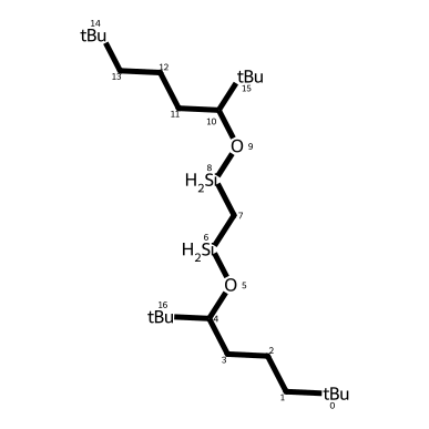 CC(C)(C)CCCC(O[SiH2]C[SiH2]OC(CCCC(C)(C)C)C(C)(C)C)C(C)(C)C